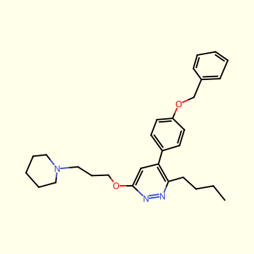 CCCCc1nnc(OCCCN2CCCCC2)cc1-c1ccc(OCc2ccccc2)cc1